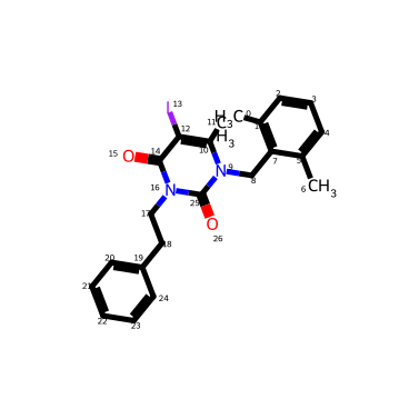 Cc1cccc(C)c1Cn1c(C)c(I)c(=O)n(CCc2ccccc2)c1=O